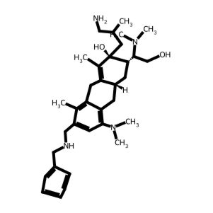 CC1=C2Cc3c(C)c(CNCc4ccccc4)cc(N(C)C)c3C[C@H]2C[C@@H](C(CO)N(C)C)[C@@]1(O)CC(C)CN